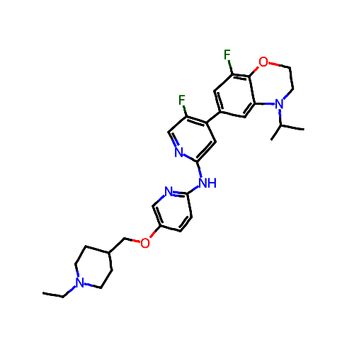 CCN1CCC(COc2ccc(Nc3cc(-c4cc(F)c5c(c4)N(C(C)C)CCO5)c(F)cn3)nc2)CC1